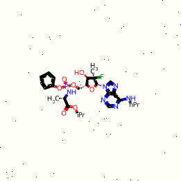 CCCNc1ncnc2c1ncn2[C@@H]1O[C@H](COP(=O)(N[C@@H](C)C(=O)OC(C)C)Oc2ccccc2)[C@@H](O)[C@@]1(C)F